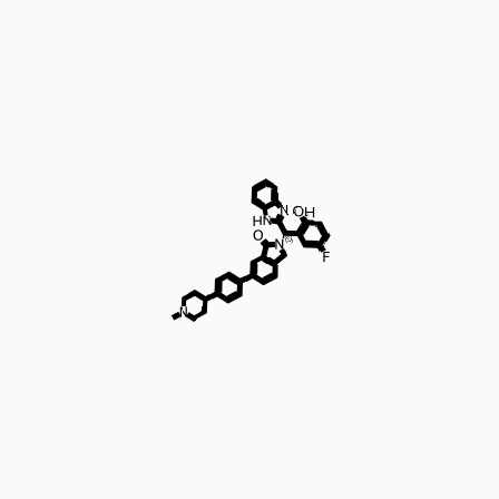 CN1CCC(c2ccc(-c3ccc4c(c3)C(=O)N([C@H](c3nc5ccccc5[nH]3)c3cc(F)ccc3O)C4)cc2)CC1